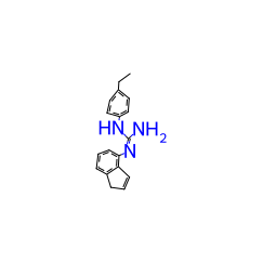 CCc1ccc(NC(N)=Nc2cccc3c2C=CC3)cc1